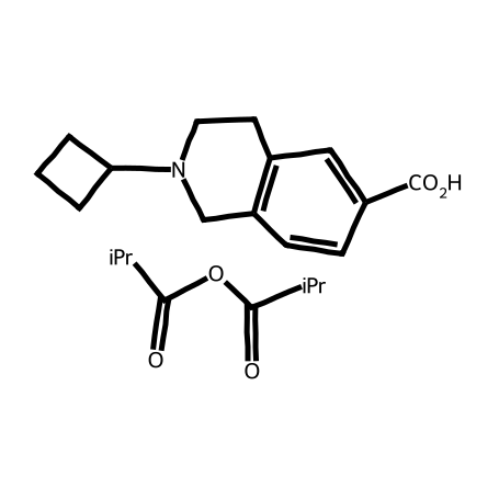 CC(C)C(=O)OC(=O)C(C)C.O=C(O)c1ccc2c(c1)CCN(C1CCC1)C2